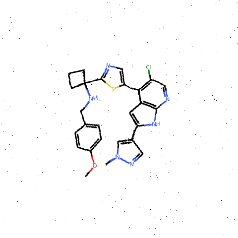 COc1ccc(CNC2(c3ncc(-c4c(Cl)cnc5[nH]c(-c6cnn(C)c6)cc45)s3)CCC2)cc1